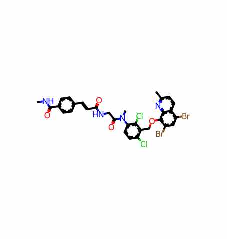 CNC(=O)c1ccc(/C=C/C(=O)NCC(=O)N(C)c2ccc(Cl)c(COc3c(Br)cc(Br)c4ccc(C)nc34)c2Cl)cc1